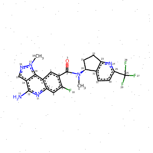 CN(C(=O)c1cc2c(cc1F)nc(N)c1cnn(C)c12)[C@H]1CCc2nc(C(F)(F)F)ccc21